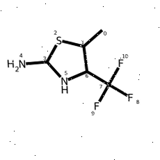 CC1SC(N)NC1C(F)(F)F